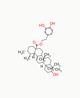 C[C@H]1[C@H](C)CC[C@]2(C(=O)OCCc3ccc(O)c(O)c3)CC[C@]3(C)C(=CC[C@@H]4[C@@]5(C)CC[C@H](O)C(C)(C)C5CC[C@]43C)[C@H]12